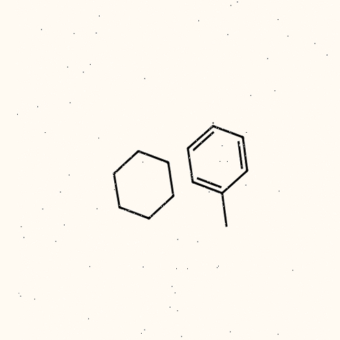 C1CCCCC1.Cc1cc[c]cc1